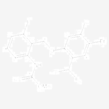 CCc1cc(C(F)F)c(OCc2c(I)cccc2NC(=S)OC)cc1C